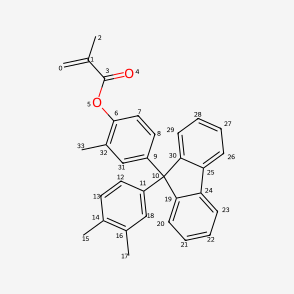 C=C(C)C(=O)Oc1ccc(C2(c3ccc(C)c(C)c3)c3ccccc3-c3ccccc32)cc1C